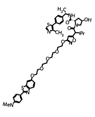 CNc1ccc(-c2nc3ccc(OCCOCCOCCOCCOc4cc(C(C(=O)N5C[C@H](O)C[C@H]5C(=O)N[C@@H](C)c5ccc(-c6scnc6C)cc5)C(C)C)on4)cc3s2)cc1